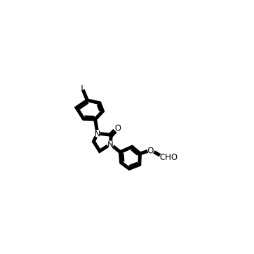 O=COc1cccc(N2CCN(c3ccc(I)cc3)C2=O)c1